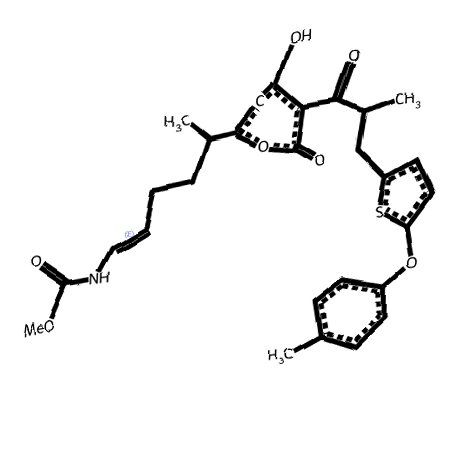 COC(=O)N/C=C/CCC(C)c1cc(O)c(C(=O)C(C)Cc2ccc(Oc3ccc(C)cc3)s2)c(=O)o1